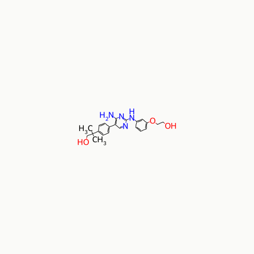 CC(C)(CO)c1ccc(-c2cnc(Nc3cccc(OCCO)c3)nc2N)cc1